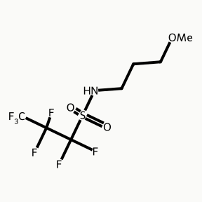 COCCCNS(=O)(=O)C(F)(F)C(F)(F)C(F)(F)F